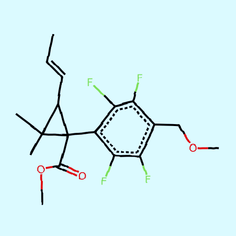 CC=CC1C(C)(C)C1(C(=O)OC)c1c(F)c(F)c(COC)c(F)c1F